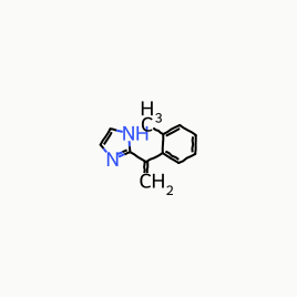 C=C(c1ncc[nH]1)c1ccccc1C